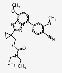 CCN(CC)C(=O)OCC1(c2nc3c(OC)ccc(-c4ccc(C#N)c(OC)c4)n3n2)CC1